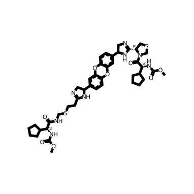 COC(=O)N[C@H](C(=O)NCSCCC1=NCC(c2ccc3c(c2)Oc2ccc(C4CN=C([C@@H]5CSCN5C(=O)[C@@H](NC(=O)OC)C5CCCC5)N4)cc2O3)N1)C1CCCC1